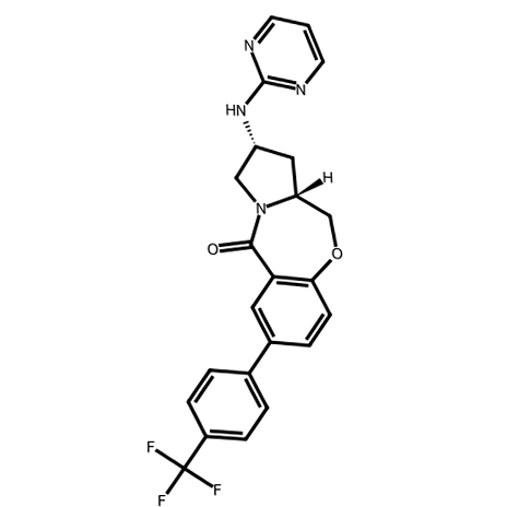 O=C1c2cc(-c3ccc(C(F)(F)F)cc3)ccc2OC[C@H]2C[C@@H](Nc3ncccn3)CN12